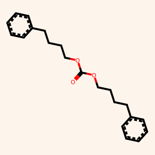 O=C(OCCCCc1ccccc1)OCCCCc1ccccc1